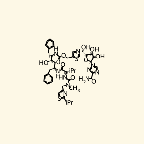 CC(C)c1nc(CN(C)C(=O)N[C@H](C(=O)N[C@@H](Cc2ccccc2)C[C@H](O)[C@H](Cc2ccccc2)NC(=O)OCc2cncs2)C(C)C)cs1.NC(=O)c1ncn([C@@H]2O[C@H](CO)[C@@H](O)[C@H]2O)n1